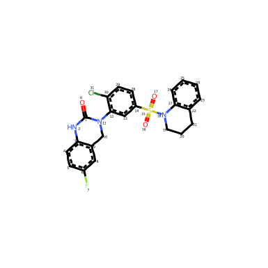 O=C1Nc2ccc(F)cc2CN1c1cc(S(=O)(=O)N2CCCc3ccccc32)ccc1Cl